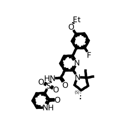 CCOc1ccc(F)c(-c2ccc(C(=O)NS(=O)(=O)c3ccc[nH]c3=O)c(N3C[C@@H](C)CC3(C)C)n2)c1